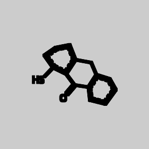 O=C1c2ccccc2Cc2cccc(S)c21